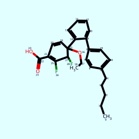 CCCCCc1ccc(-c2ccccc2C2(OCC)C=CC(C(=O)O)=C(F)C2F)cc1